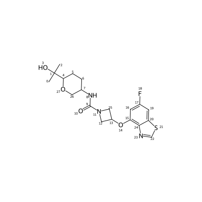 CC(C)(O)C1CCC(NC(=O)N2CC(Oc3cc(F)cc4scnc34)C2)CO1